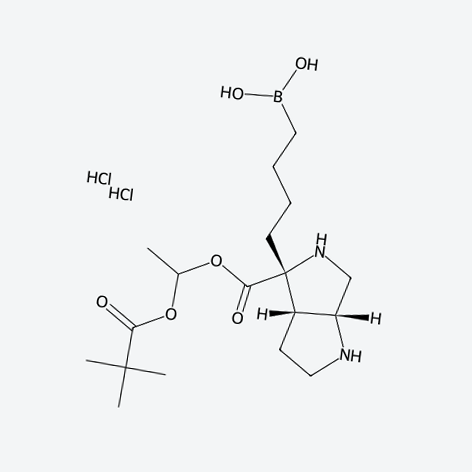 CC(OC(=O)C(C)(C)C)OC(=O)[C@]1(CCCCB(O)O)NC[C@@H]2NCC[C@@H]21.Cl.Cl